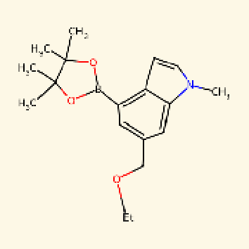 CCOCc1cc(B2OC(C)(C)C(C)(C)O2)c2ccn(C)c2c1